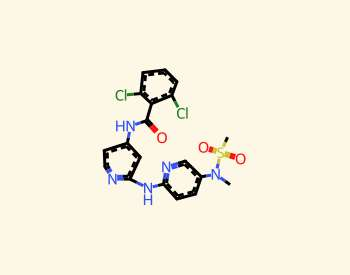 CN(c1ccc(Nc2cc(NC(=O)c3c(Cl)cccc3Cl)ccn2)nc1)S(C)(=O)=O